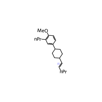 CCC/C=C/C1CCC(c2ccc(OC)c(CCC)c2)CC1